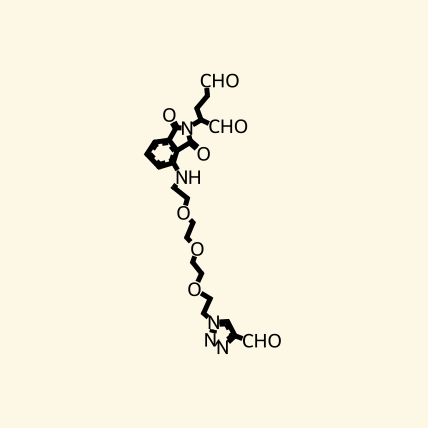 O=CCCC(C=O)N1C(=O)c2cccc(NCCOCCOCCOCCn3cc(C=O)nn3)c2C1=O